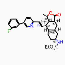 CCOC(=O)N[C@H]1CC[C@@H]2[C@H](C1)C[C@@H]1C(=O)O[C@H](C)[C@@H]1[C@@H]2/C=C/c1ccc(-c2cccc(F)c2)cn1